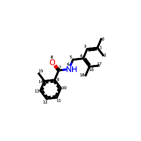 CC(C)=CC(CNC(=O)c1ccccc1C)=C(C)C